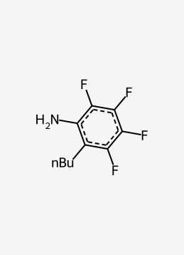 CCCCc1c(N)c(F)c(F)c(F)c1F